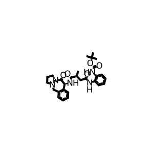 CC(CC(=O)Nc1ccccc1NC(=O)OC(C)(C)C)C(=O)N[C@@H]1C(=O)N2CCCN2Cc2ccccc21